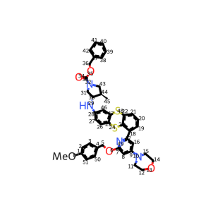 COc1ccc(COc2cc(N3CCOCC3)cc(-c3cccc4c3Sc3ccc(N[C@@H]5CN(C(=O)OCc6ccccc6)C[C@H]5C)cc3S4)n2)cc1